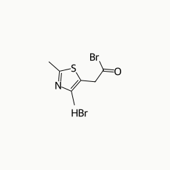 Br.Cc1nc(C)c(CC(=O)Br)s1